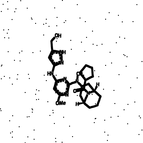 COc1cc(Nc2cc(CO)[nH]n2)nc(N(C)C2C[C@H]3CCC[C@@H](C2)N3C(=O)C2CCCC2)n1